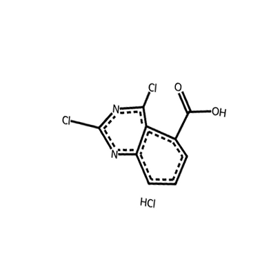 Cl.O=C(O)c1cccc2nc(Cl)nc(Cl)c12